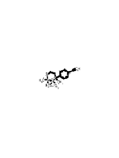 C#Cc1ccc([Si]2(C)CCO[Si](C)(C)[Si]2(C)C)cc1